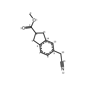 COC(=O)C1Cc2ccc(CC#N)cc2C1